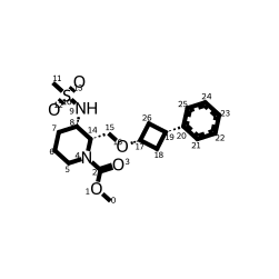 COC(=O)N1CCC[C@H](NS(C)(=O)=O)[C@@H]1CO[C@H]1C[C@@H](c2ccccc2)C1